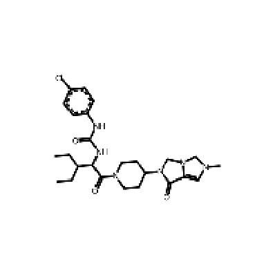 CCC(CC)C(NC(=O)Nc1ccc(Cl)cc1)C(=O)N1CCC(N2CN3CN(C)C=C3C2=O)CC1